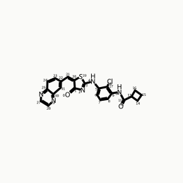 O=C1N=C(Nc2cccc(NC(=O)C3CCC3)c2Cl)SC1=Cc1ccc2nccnc2c1